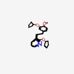 COc1ccc(CCc2cccnc2OC2CCCC2)cc1OC1CCCC1